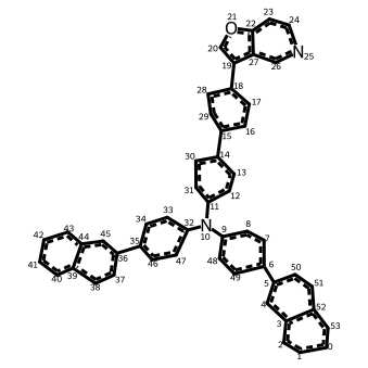 c1ccc2cc(-c3ccc(N(c4ccc(-c5ccc(-c6coc7ccncc67)cc5)cc4)c4ccc(-c5ccc6ccccc6c5)cc4)cc3)ccc2c1